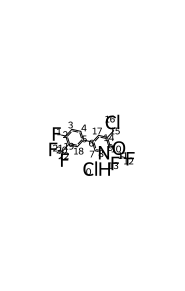 Cl.Fc1ccc(-c2cnc(OC(F)F)c(CCl)c2)cc1C(F)F